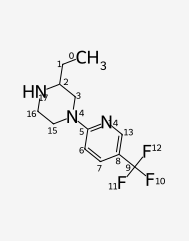 CCC1CN(c2ccc(C(F)(F)F)cn2)CCN1